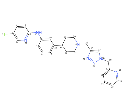 Fc1ccc(Nc2cccc(C3CCN(Cc4cn(Cc5ccccn5)nn4)CC3)c2)nc1